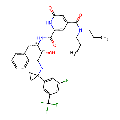 CCCN(CCC)C(=O)c1cc(C(=O)N[C@@H](Cc2ccccc2)[C@H](O)CNC2(c3cc(F)cc(C(F)(F)F)c3)CC2)[nH]c(=O)c1